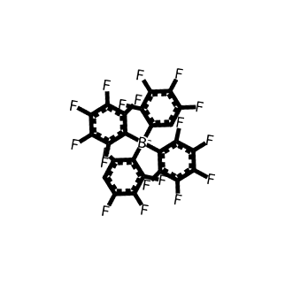 Fc1cc([B-](c2c(F)cc(F)c(F)c2F)(c2c(F)c(F)c(F)c(F)c2F)c2c(F)c(F)c(F)c(F)c2F)c(F)c(F)c1F